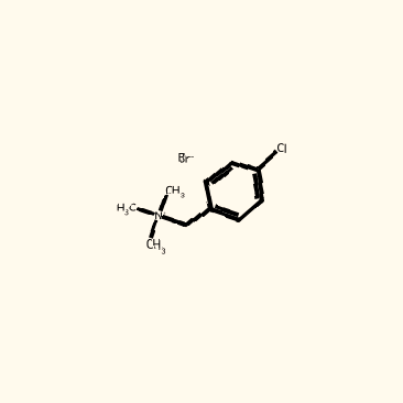 C[N+](C)(C)Cc1ccc(Cl)cc1.[Br-]